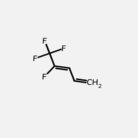 C=CC=C(F)C(F)(F)F